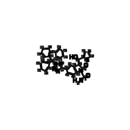 NC(=O)N1C(=O)/C(=C(/O)c2cccs2)c2cc(-c3nnn(C(c4ccccc4)(c4ccccc4)c4ccccc4)n3)ccc21